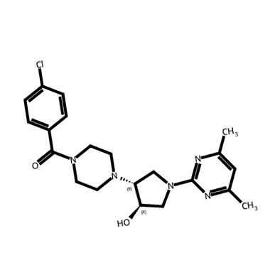 Cc1cc(C)nc(N2C[C@@H](O)[C@H](N3CCN(C(=O)c4ccc(Cl)cc4)CC3)C2)n1